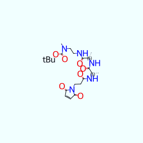 C[C@H](NC(=O)CCN1C(=O)C=CC1=O)C(=O)N[C@@H](C)C(=O)NCCN(C)C(=O)OC(C)(C)C